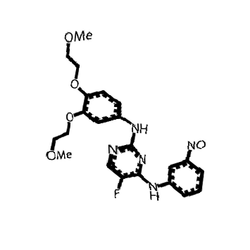 COCCOc1ccc(Nc2ncc(F)c(Nc3cccc(N=O)c3)n2)cc1OCCOC